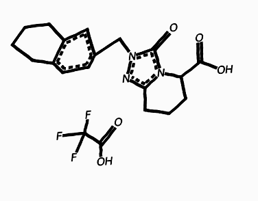 O=C(O)C(F)(F)F.O=C(O)C1CCCc2nn(Cc3ccc4c(c3)CCCC4)c(=O)n21